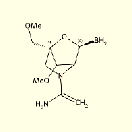 B[C@@H]1O[C@]2(COC)CN(C(=C)N)C1C2OC